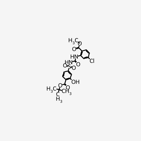 COC(=O)c1ccc(Cl)cc1NC(=O)NS(=O)(=O)c1ccc(C(=O)OC(C)(C)C)c(O)c1